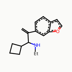 C=C(c1ccc2ccoc2c1)C(NCC)C1CCC1